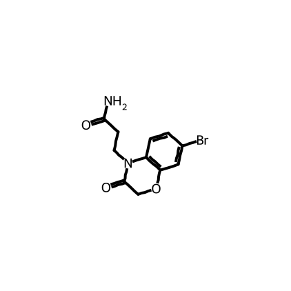 NC(=O)CCN1C(=O)COc2cc(Br)ccc21